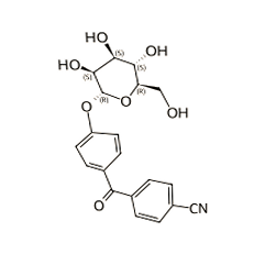 N#Cc1ccc(C(=O)c2ccc(O[C@H]3O[C@H](CO)[C@@H](O)[C@H](O)[C@@H]3O)cc2)cc1